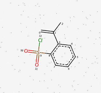 C=C(C)c1ccccc1S(=O)(=O)Cl